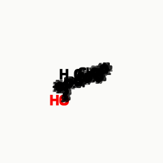 CC1(C)c2cc(-c3ccc4c(c3)C(CCCO)c3ccccc3-4)ccc2-c2ccc(-c3ccc4c5c(cccc35)-c3ccccc3-4)cc21